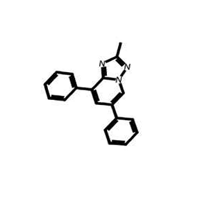 Cc1nc2c(-c3ccccc3)cc(-c3ccccc3)cn2n1